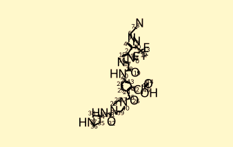 Cn1c(-c2cn(CC#N)nc2C(F)(F)F)cnc1C(=O)Nc1ccc(C(=O)N2CCN(C(=O)N[C@H]3CCNC3)CC2)c(Cl)c1.O=CO